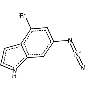 CC(C)c1cc(N=[N+]=[N-])cc2[nH]ccc12